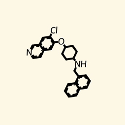 Clc1cc2cnccc2cc1OC1CCC(NCc2cccc3ccccc23)CC1